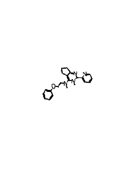 CN(CCOc1ccccc1)C1=C2CCCC2=NC(c2ccccn2)N1C